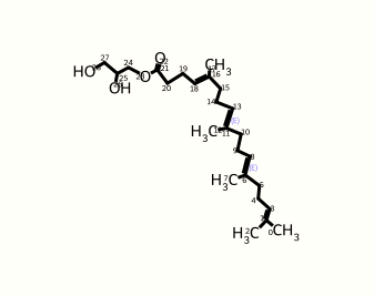 CC(C)=CCC/C(C)=C/CC/C(C)=C/CCC(C)=CCCC(=O)OCC(O)CO